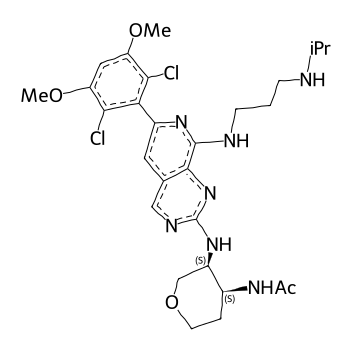 COc1cc(OC)c(Cl)c(-c2cc3cnc(N[C@@H]4COCC[C@@H]4NC(C)=O)nc3c(NCCCNC(C)C)n2)c1Cl